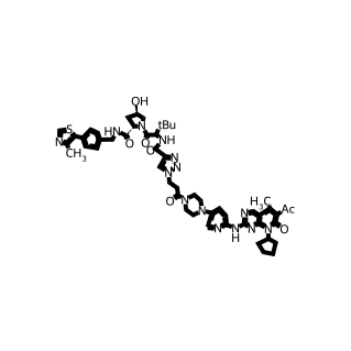 CC(=O)c1c(C)c2cnc(Nc3ccc(N4CCN(C(=O)CCn5cc(C(=O)NC(C(=O)N6C[C@H](O)C[C@H]6C(=O)NCc6ccc(-c7scnc7C)cc6)C(C)(C)C)nn5)CC4)cn3)nc2n(C2CCCC2)c1=O